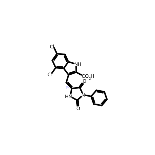 O=C(O)c1[nH]c2cc(Cl)cc(Cl)c2c1/C=C1/NC(=O)N(c2ccccc2)C1=O